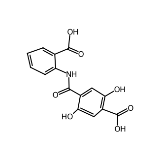 O=C(O)c1cc(O)c(C(=O)Nc2ccccc2C(=O)O)cc1O